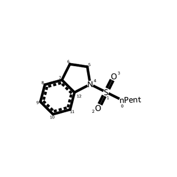 CCCCCS(=O)(=O)N1CCc2ccccc21